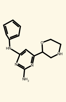 Nc1nc(Nc2ccccc2)cc(C2CNCCO2)n1